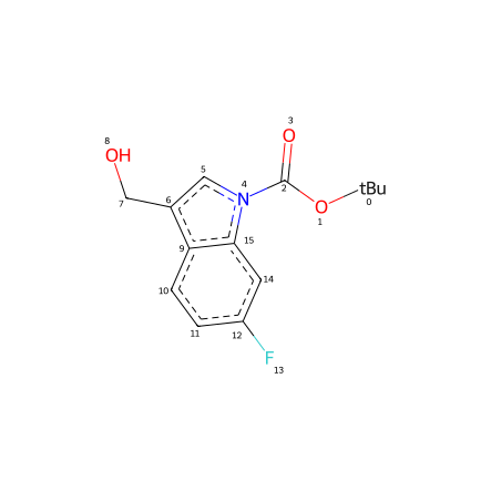 CC(C)(C)OC(=O)n1cc(CO)c2ccc(F)cc21